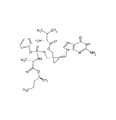 CCC[C@H](C)OC(=O)[C@H](C)NP(=O)(OC[C@@]1(COC(=O)[C@H](N)C(C)C)C/C1=C/n1cnc2c(=O)[nH]c(N)nc21)Oc1ccccc1